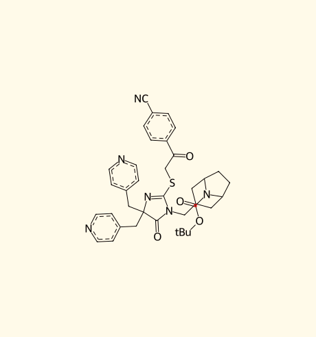 CC(C)(C)OC(=O)N1C2CCC1CC(CN1C(=O)C(Cc3ccncc3)(Cc3ccncc3)N=C1SCC(=O)c1ccc(C#N)cc1)C2